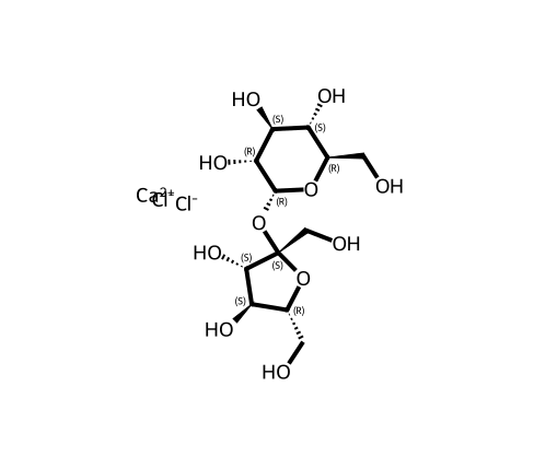 OC[C@H]1O[C@@](CO)(O[C@H]2O[C@H](CO)[C@@H](O)[C@H](O)[C@H]2O)[C@@H](O)[C@@H]1O.[Ca+2].[Cl-].[Cl-]